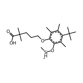 Cc1c(C)c(C(C)(C)C)c(C)c(O[SiH](C)C)c1OCCCC(C)(C)C(=O)O